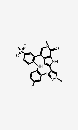 Cn1cc(-c2cc3c(-c4cc(S(C)(=O)=O)ccc4Nc4ccc(F)cc4F)cn(C)c(=O)c3[nH]2)cn1